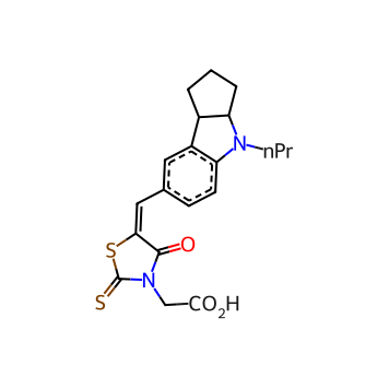 CCCN1c2ccc(/C=C3/SC(=S)N(CC(=O)O)C3=O)cc2C2CCCC21